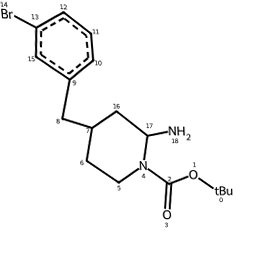 CC(C)(C)OC(=O)N1CCC(Cc2cccc(Br)c2)CC1N